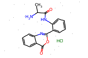 CC(N)C(=O)Nc1ccccc1-c1nc2ccccc2c(=O)o1.Cl